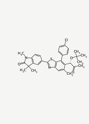 CC(=O)[C@@H](OC(C)(C)C)c1c(C)cc2nc(-c3ccc4c(c3)C(C)(C)C(=O)N4C)sc2c1-c1ccc(Cl)cc1